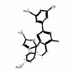 COc1cc(C#N)cc(-c2cc(C)c3c(c2)C2(N=CC(N)N2)[C@]2(CC3)CC[C@@H](OC)CC2)c1